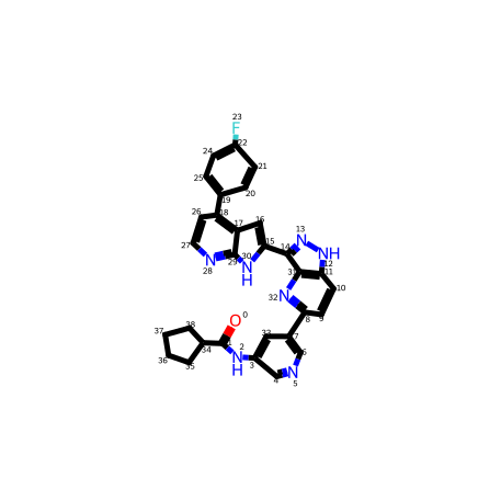 O=C(Nc1cncc(-c2ccc3[nH]nc(-c4cc5c(-c6ccc(F)cc6)ccnc5[nH]4)c3n2)c1)C1CCCC1